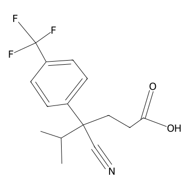 CC(C)C(C#N)(CCC(=O)O)c1ccc(C(F)(F)F)cc1